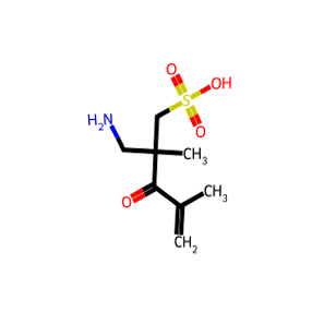 C=C(C)C(=O)C(C)(CN)CS(=O)(=O)O